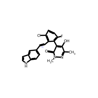 Cc1nn(C)c(=O)c(-c2c(F)ccc(Cl)c2/C=C/c2ccc3[nH]ccc3c2)c1O